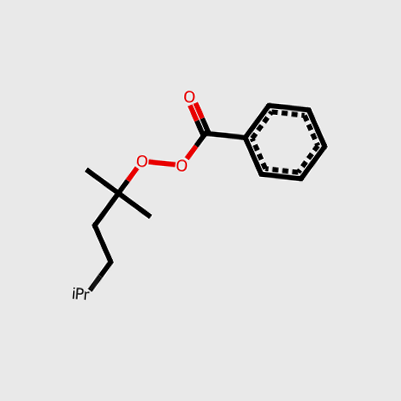 CC(C)CCC(C)(C)OOC(=O)c1ccccc1